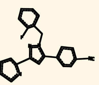 [C-]#[N+]c1ccc(-c2cc(-c3ccccn3)nn2Cc2ccccc2F)cc1